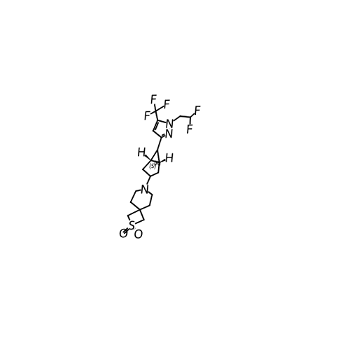 O=S1(=O)CC2(CCN(C3C[C@@H]4C(c5cc(C(F)(F)F)n(CC(F)F)n5)[C@@H]4C3)CC2)C1